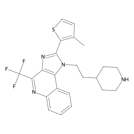 Cc1ccsc1-c1nc2c(C(F)(F)F)nc3ccccc3c2n1CCC1CCNCC1